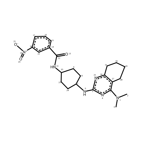 CN(C)c1nc(NC2CCC(NC(=O)c3cccc([N+](=O)[O-])c3)CC2)nc2c1CCCC2